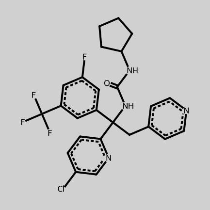 O=C(NC1CCCC1)NC(Cc1ccncc1)(c1cc(F)cc(C(F)(F)F)c1)c1ccc(Cl)cn1